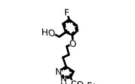 CCOC(=O)c1cc(CCCOc2ccc(F)cc2CO)n[nH]1